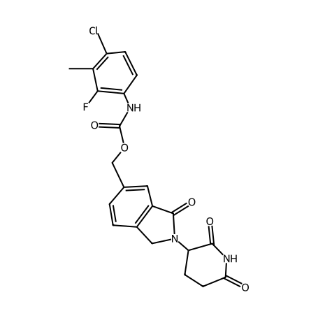 Cc1c(Cl)ccc(NC(=O)OCc2ccc3c(c2)C(=O)N(C2CCC(=O)NC2=O)C3)c1F